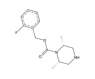 C[C@@H]1CNC[C@H](C)N1C(=O)OCc1ccccc1F